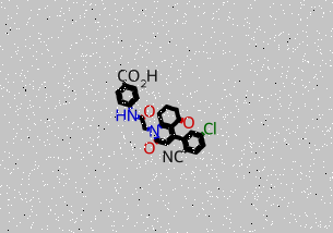 N#Cc1ccc(Cl)cc1-c1cc(=O)n(CC(=O)Nc2ccc(C(=O)O)cc2)c2c1C(=O)CCC2